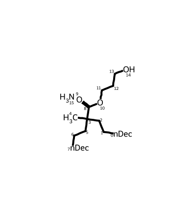 CCCCCCCCCCCCC(C)(CCCCCCCCCCCC)C(=O)OCCCO.N